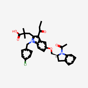 CCC(=O)c1c(CC(C)(C)C(=O)O)n(Cc2ccc(Cl)cc2)c2ccc(OC[C@@H]3Cc4ccccc4N3C(C)=O)cc12